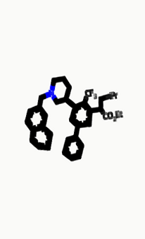 CCOC(=O)C(CC(C)C)c1cc(-c2ccccc2)cc(C2CCCN(Cc3ccc4ccccc4c3)C2)c1C(F)(F)F